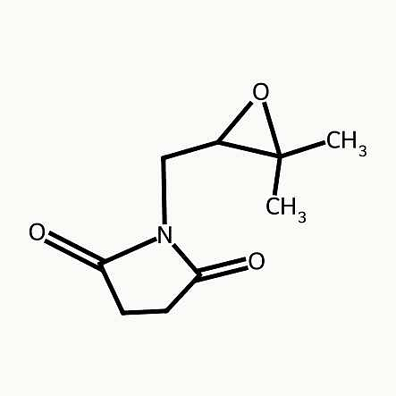 CC1(C)OC1CN1C(=O)CCC1=O